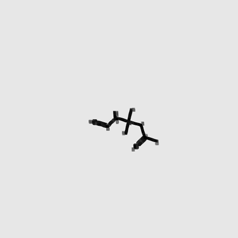 CC(=O)CC(C)(C)NC=O